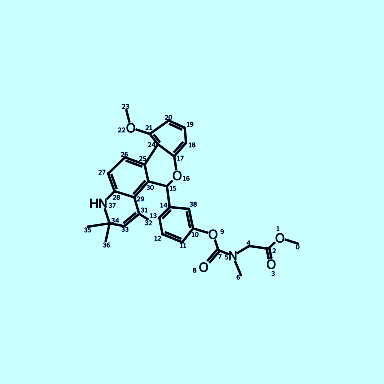 COC(=O)CN(C)C(=O)Oc1cccc(C2Oc3cccc(OC)c3-c3ccc4c(c32)C(C)=CC(C)(C)N4)c1